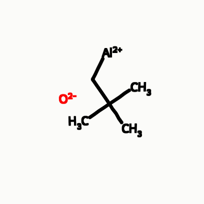 CC(C)(C)[CH2][Al+2].[O-2]